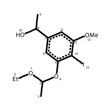 CCOC(C)Oc1cc(C(C)O)cc(OC)c1I